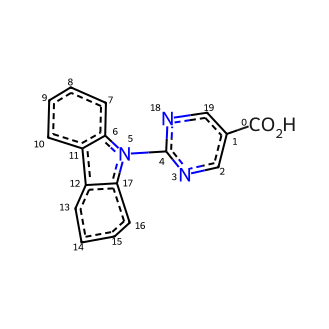 O=C(O)c1cnc(-n2c3ccccc3c3ccccc32)nc1